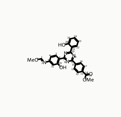 COC=Nc1ccc(-c2nc(-c3ccc(C(=O)OC)cc3)nc(-c3ccccc3O)n2)c(O)c1